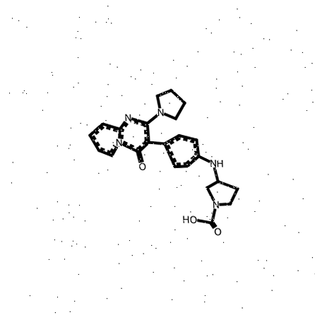 O=C(O)N1CCC(Nc2ccc(-c3c(N4CCCC4)nc4ccccn4c3=O)cc2)C1